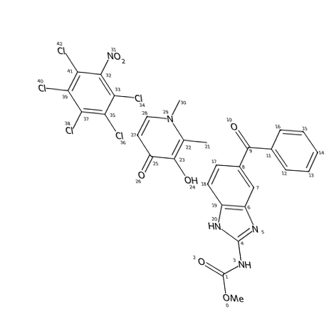 COC(=O)Nc1nc2cc(C(=O)c3ccccc3)ccc2[nH]1.Cc1c(O)c(=O)ccn1C.O=[N+]([O-])c1c(Cl)c(Cl)c(Cl)c(Cl)c1Cl